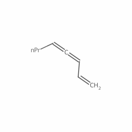 C=CC=C=CCCC